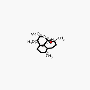 CO[C@H]1O[C@@H]2O[C@]3(C)CCC4[C@H](C)CCC([C@H]1C)[C@]42OO3